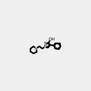 Oc1nn(CCN2CCCCC2)cc1-c1ccccc1